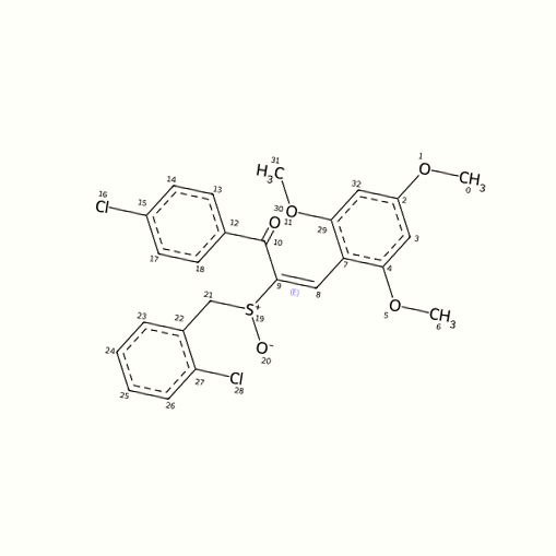 COc1cc(OC)c(/C=C(\C(=O)c2ccc(Cl)cc2)[S+]([O-])Cc2ccccc2Cl)c(OC)c1